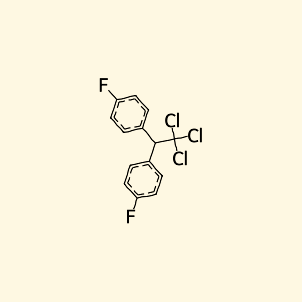 Fc1ccc(C(c2ccc(F)cc2)C(Cl)(Cl)Cl)cc1